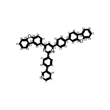 c1cncc(-c2ccc(-c3nc(-c4ccc(-c5ccc6c(c5)oc5ccccc56)cc4)cc(-c4ccc5oc6ccccc6c5c4)n3)cc2)c1